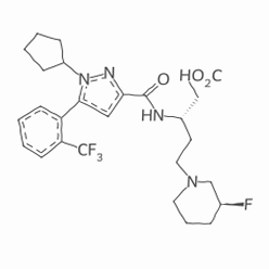 O=C(O)C[C@H](CCN1CCC[C@H](F)C1)NC(=O)c1cc(-c2ccccc2C(F)(F)F)n(C2CCCC2)n1